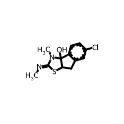 C/N=C1\SC2Cc3cc(Cl)ccc3C2(O)N1C